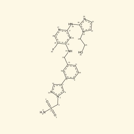 NS(=O)(=O)Cn1cc(-c2cccc(CNc3nc(Nc4nccn4CCO)ncc3F)c2)cn1